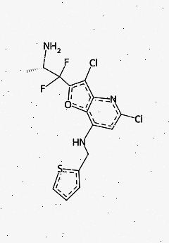 C[C@H](N)C(F)(F)c1oc2c(NCc3cccs3)cc(Cl)nc2c1Cl